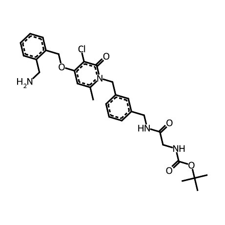 Cc1cc(OCc2ccccc2CN)c(Cl)c(=O)n1Cc1cccc(CNC(=O)CNC(=O)OC(C)(C)C)c1